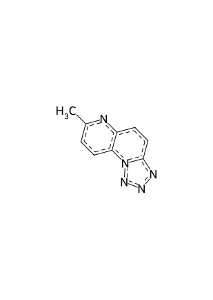 Cc1ccc2c(ccc3nnnn32)n1